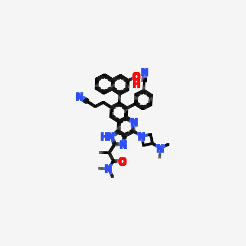 CC(C(=O)N(C)C)c1nc2c(N3CC(N(C)C)C3)nc3c(-c4cccc(C#N)c4)c(-c4cc(O)cc5ccccc45)c(CCC#N)cc3c2[nH]1